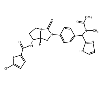 COC(=O)N(C)C(c1ccc(N2C[C@@H]3[C@H](NC(=O)c4ccc(Cl)s4)CCN3C2=O)cc1)c1ncc[nH]1